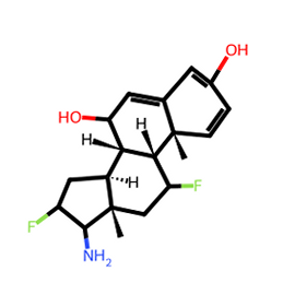 C[C@]12C=CC(O)=CC1=CC(O)[C@@H]1[C@H]2C(F)C[C@]2(C)C(N)C(F)C[C@@H]12